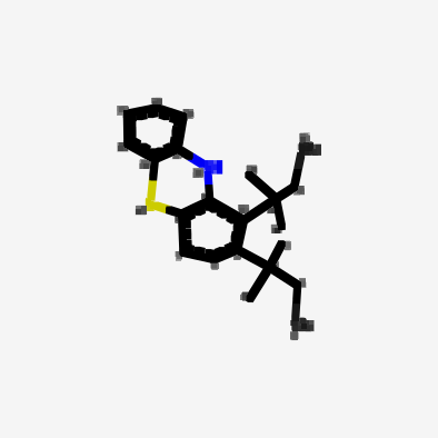 CC(C)(C)CC(C)(C)c1ccc2c(c1C(C)(C)CC(C)(C)C)Nc1ccccc1S2